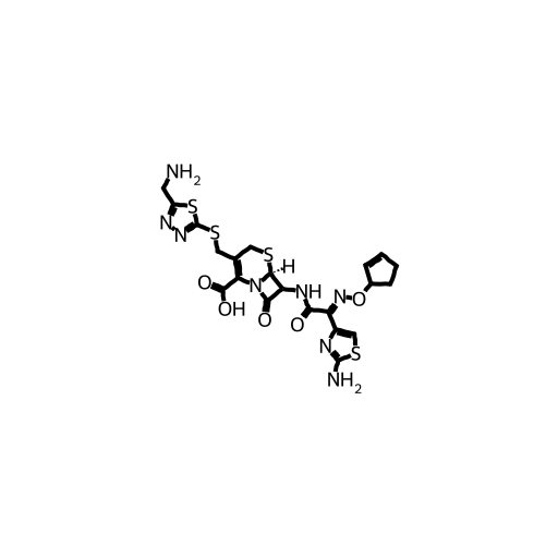 NCc1nnc(SCC2=C(C(=O)O)N3C(=O)C(NC(=O)C(=NOC4C=CCC4)c4csc(N)n4)[C@@H]3SC2)s1